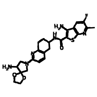 Cc1nc2sc(C(=O)NC3CCc4nc(N5CC(N)C6(C5)OCCO6)ccc4C3)c(N)c2cc1F